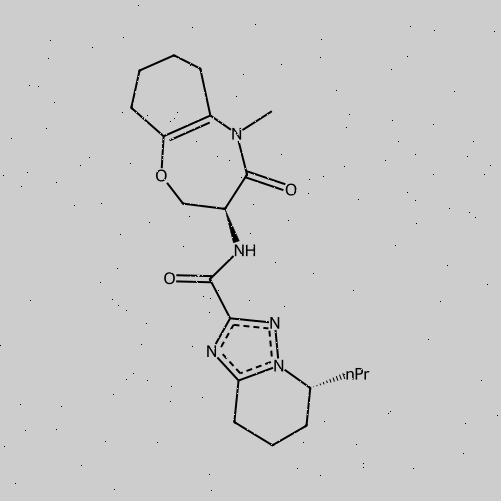 CCC[C@@H]1CCCc2nc(C(=O)N[C@H]3COC4=C(CCCC4)N(C)C3=O)nn21